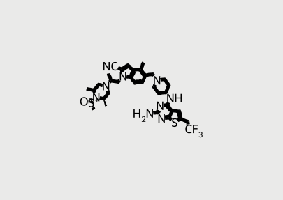 Cc1c(CN2CCC(Nc3nc(N)nc4sc(CC(F)(F)F)cc34)CC2)ccc2c1cc(C#N)n2CC(C)N1CC(C)N([S+](C)[O-])[C@H](C)C1